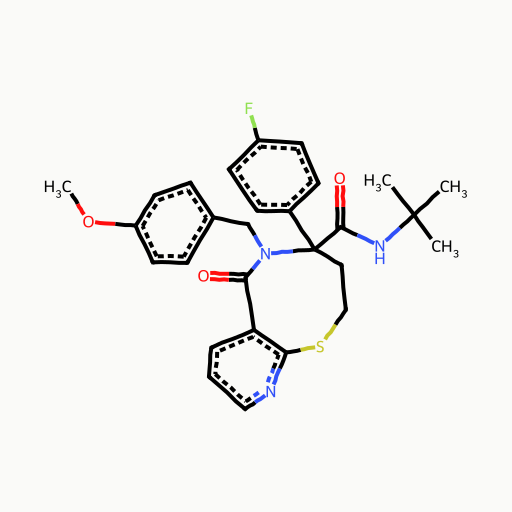 COc1ccc(CN2C(=O)c3cccnc3SCCC2(C(=O)NC(C)(C)C)c2ccc(F)cc2)cc1